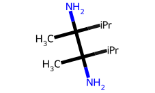 CC(C)C(C)(N)C(C)(N)C(C)C